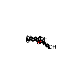 C=C(O)c1ccc(-n2cc(COC[C@@]34C5CC(C)(C)[C@@H](O)[C@@H]3OC(C)(C)O[C@@H]4C[C@]3(C)C5=CCC4[C@@]5(C)CC[C@@H]6OC(C)(C)OC[C@]6(C)C5CC[C@]43C)nn2)cc1